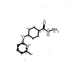 Cc1cccc(OC2CCC(C(=O)NN)CC2)n1